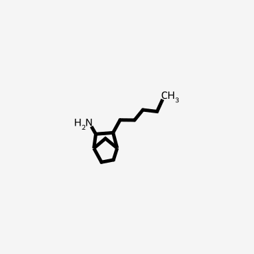 CCCCCC1C2CCC(C2)C1N